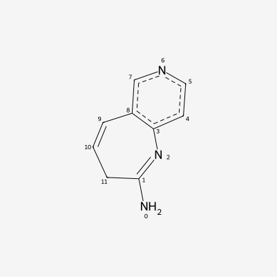 NC1=Nc2ccncc2C=CC1